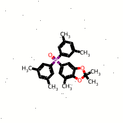 Cc1cc(C)cc(P(=O)(c2cc(C)cc(C)c2)c2cc(C)c3c(c2)OC(C)(C)O3)c1